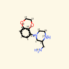 NCC1CN(c2cccc3c2OCCO3)CCN1